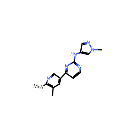 CNc1ncc(-c2ccnc(Nc3cnn(C)c3)n2)cc1C